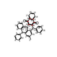 Cc1cc(C(c2ccccc2)c2ccccc2)c(NC2=CC(=O)c3ccccc3C2=O)c(P(c2ccccc2)c2ccccc2)c1